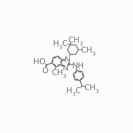 Cc1c(C(=O)O)ccc2c1nc(Nc1ccc(C(C)C)cc1)n2C1C[C@H](C)CC(C)(C)C1